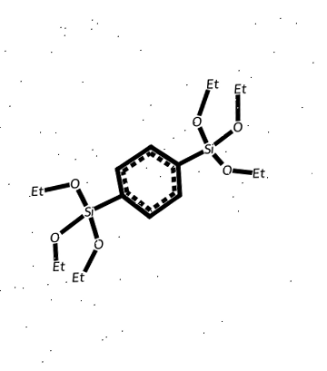 CCO[Si](OCC)(OCC)c1ccc([Si](OCC)(OCC)OCC)cc1